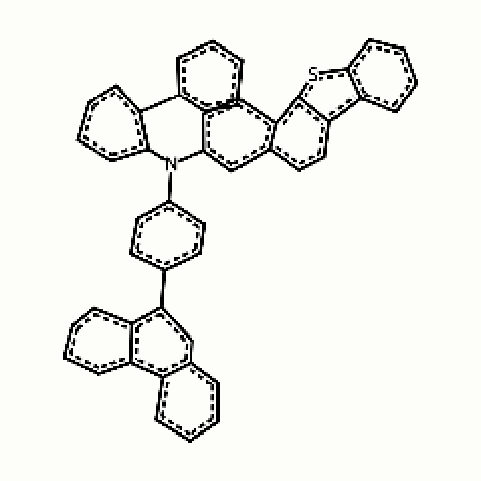 c1ccc(-c2ccccc2N(c2ccc(-c3cc4ccccc4c4ccccc34)cc2)c2ccc3c(ccc4c5ccccc5sc34)c2)cc1